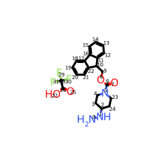 NNC1CCN(C(=O)OCC2c3ccccc3-c3ccccc32)CC1.O=C(O)C(F)(F)F